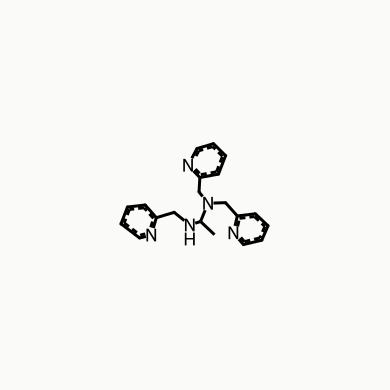 CC(NCc1ccccn1)N(Cc1ccccn1)Cc1ccccn1